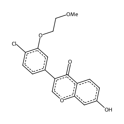 COCCOc1cc(-c2coc3cc(O)ccc3c2=O)ccc1Cl